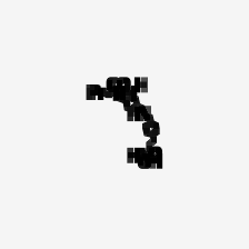 CC(C)C[C@H](NCc1ccc(CNCc2ccc(CCC(=O)NO)cc2)cc1)C(=O)O